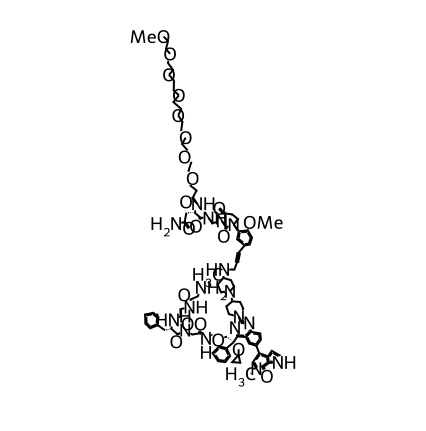 COCCOCCOCCOCCOCCOCCOCCOCCC(=O)N[C@@H](CC(N)=O)C(=O)NCN1C(=O)CCN(c2cc(C#CCNC3(C)CCN(C4CCN(c5nc([C@@](COCNC(=O)CNC(=O)[C@H](Cc6ccccc6)NC(=O)CNC(=O)CN)(OC6CC6)c6ccccc6)c6cc(-c7cn(C)c(=O)c8[nH]ccc78)ccc6n5)CC4)CC3)ccc2OC)C1=O